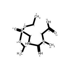 CCOP(=O)(CNC(=N)N(C)CC(=O)O)OCC